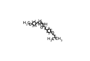 COc1ccc(C2CSC(NC(=O)/C=C/c3ccc(OCCC(C)C)cc3)=N2)cc1